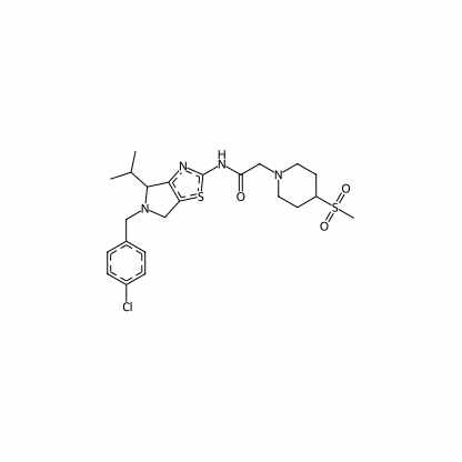 CC(C)C1c2nc(NC(=O)CN3CCC(S(C)(=O)=O)CC3)sc2CN1Cc1ccc(Cl)cc1